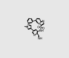 Cn1cc(-c2cnc(C=N)c(NS(=O)(=O)c3cnc4ccc(-c5ccccc5)cn34)c2)cn1